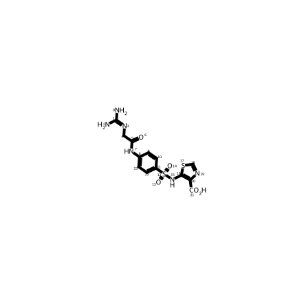 NC(N)=NCC(=O)Nc1ccc(S(=O)(=O)Nc2scnc2C(=O)O)cc1